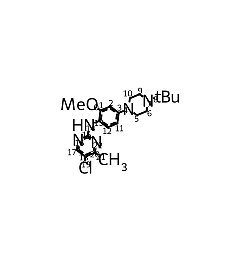 COc1cc(N2CCN(C(C)(C)C)CC2)ccc1Nc1ncc(Cl)c(C)n1